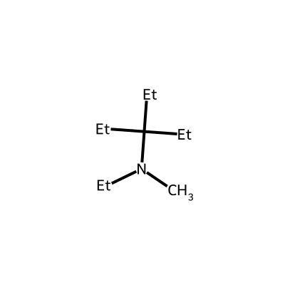 CCN(C)C(CC)(CC)CC